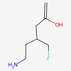 C=C(O)CC(CF)CCN